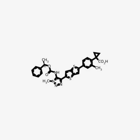 Cc1cc(-c2cc3sc(-c4nnn(C)c4NC(=O)O[C@H](C)c4ccccc4)cc3s2)ccc1C1(C(=O)O)CC1